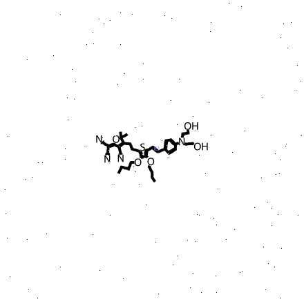 CCCCOc1c(/C=C/c2ccc(N(CCO)CCO)cc2)sc(CCC2=C(C#N)C(=C(C#N)C#N)OC2(C)C)c1OCCCC